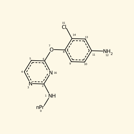 CCCNc1nccc(Oc2ccc(N)cc2Cl)n1